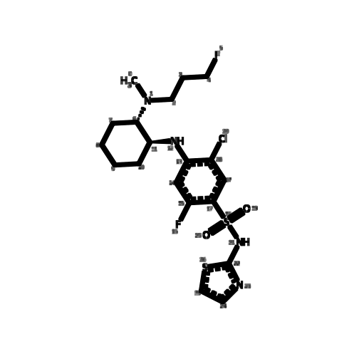 CN(CCCF)[C@H]1CCCC[C@@H]1Nc1cc(F)c(S(=O)(=O)Nc2nccs2)cc1Cl